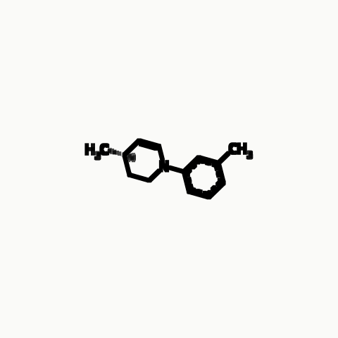 Cc1cccc(N2C=C[C@@H](C)CC2)c1